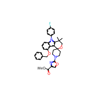 COC(=O)c1coc(N2CCC3(CC2)OCC(C)(C)c2c3c3c(OCc4ccccc4)cccc3n2-c2ccc(F)cc2)n1